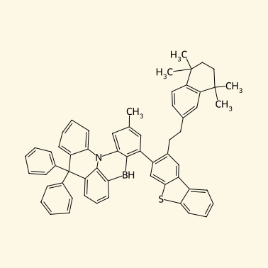 Cc1cc(-c2cc3sc4ccccc4c3cc2CCc2ccc3c(c2)C(C)(C)CCC3(C)C)c2c(c1)N1c3ccccc3C(c3ccccc3)(c3ccccc3)c3cccc(c31)B2